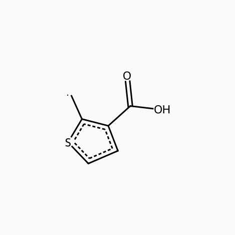 [CH2]c1sccc1C(=O)O